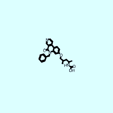 CC(COc1ccc2c3ccncc3c(=O)n(Cc3ccccc3)c2c1)CC(C)NC(=O)O